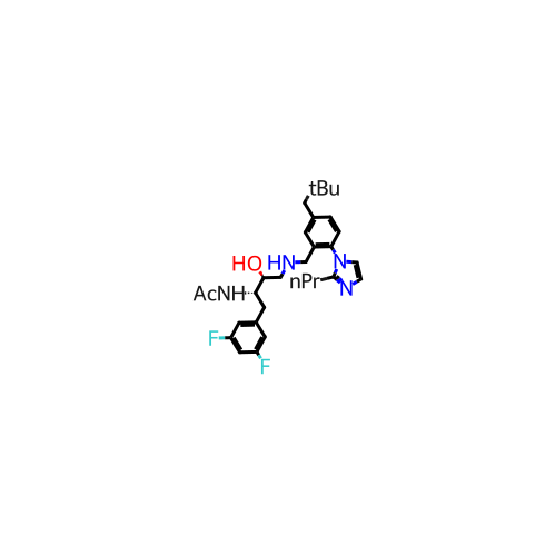 CCCc1nccn1-c1ccc(CC(C)(C)C)cc1CNC[C@H](O)[C@H](Cc1cc(F)cc(F)c1)NC(C)=O